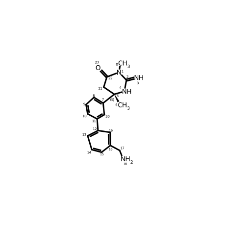 CN1C(=N)N[C@](C)(c2cccc(-c3cccc(CN)c3)c2)CC1=O